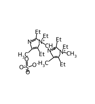 CCC1=NC(C)=C(CC)[N+]1(C)CC.CCC1=NC(C)=C(CC)[N+]1(C)CC.O=S(=O)([O-])[O-]